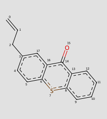 C=CCc1ccc2sc3ccccc3c(=O)c2c1